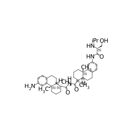 CC(C)N[C@@H](CO)C(=O)Nc1ccc2c(c1)[C@@]1(C)CCC[C@](C)(C(=O)NC(=O)[C@@]3(C)CCC[C@]4(C)c5cc(N)ccc5CC[C@@H]34)[C@@H]1CC2